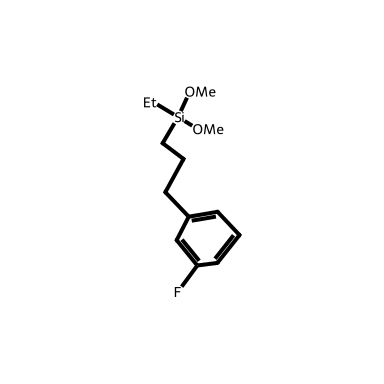 CC[Si](CCCc1cccc(F)c1)(OC)OC